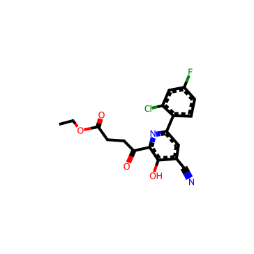 CCOC(=O)CCC(=O)c1nc(-c2ccc(F)cc2Cl)cc(C#N)c1O